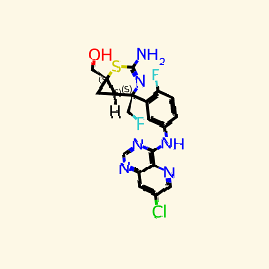 NC1=N[C@](CF)(c2cc(Nc3ncnc4cc(Cl)cnc34)ccc2F)[C@@H]2C[C@]2(CO)S1